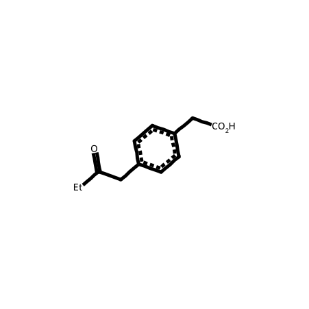 CCC(=O)Cc1ccc(CC(=O)O)cc1